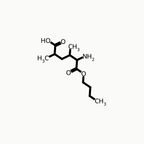 CCCCOC(=O)C(N)C(C)CC(C)C(=O)O